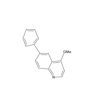 COc1ccnc2ccc(-c3ccccc3)cc12